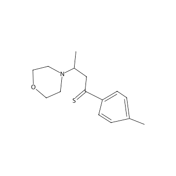 Cc1ccc(C(=S)CC(C)N2CCOCC2)cc1